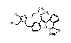 CCCCc1nc(Cl)c(CO)n1Cc1ccc2oc(-c3ccccc3-c3nnn[nH]3)c(OC)c2c1